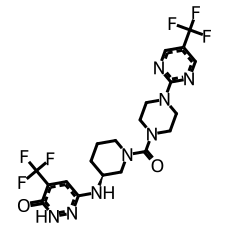 O=C(N1CCN(c2ncc(C(F)(F)F)cn2)CC1)N1CCC[C@H](Nc2cc(C(F)(F)F)c(=O)[nH]n2)C1